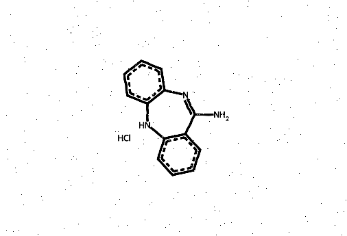 Cl.NC1=Nc2ccccc2Nc2ccccc21